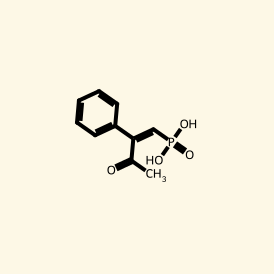 CC(=O)C(=CP(=O)(O)O)c1ccccc1